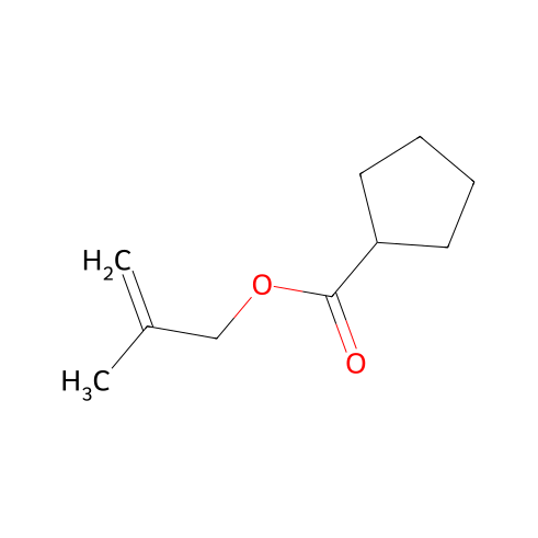 C=C(C)COC(=O)C1CCCC1